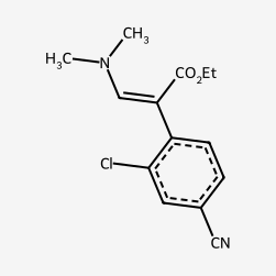 CCOC(=O)/C(=C\N(C)C)c1ccc(C#N)cc1Cl